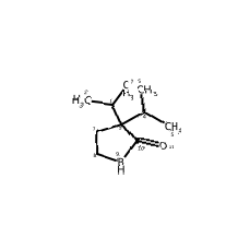 CC(C)C1(C(C)C)CCBC1=O